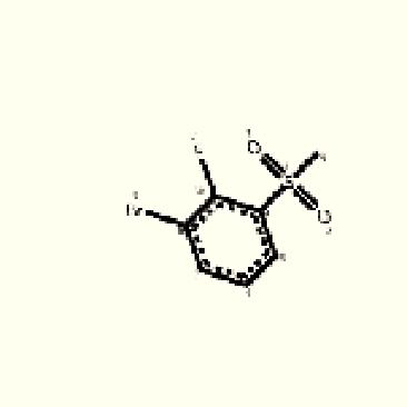 [CH2]S(=O)(=O)c1cccc(Br)c1F